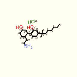 CCCCCCC(C)(C)c1ccc(C2CC(O)CCC2CCN)c(O)c1.Cl